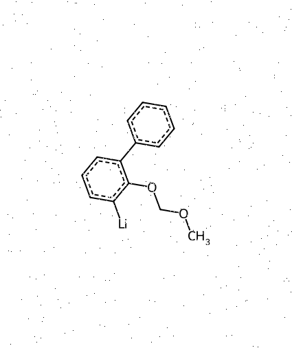 [Li][c]1cccc(-c2ccccc2)c1OCOC